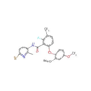 COc1cc(OC(F)(F)F)ccc1Oc1ccc(C(F)(F)F)c(F)c1C(=O)Nc1ccc(Br)nc1C